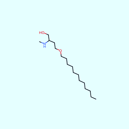 CCCCCCCCCCCCOCCC(CO)NC